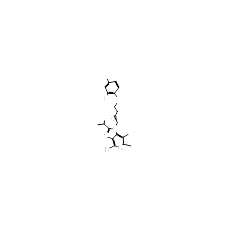 COC(C)c1nc2c(N)nc(C)c(C)c2n1CCCCSc1ccc(F)cc1F